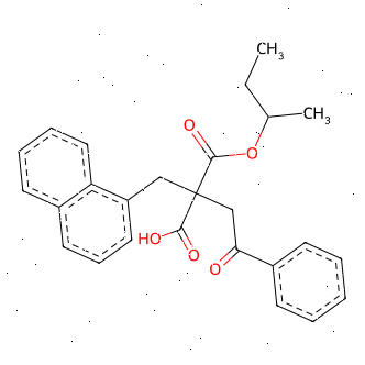 CCC(C)OC(=O)C(CC(=O)c1ccccc1)(Cc1cccc2ccccc12)C(=O)O